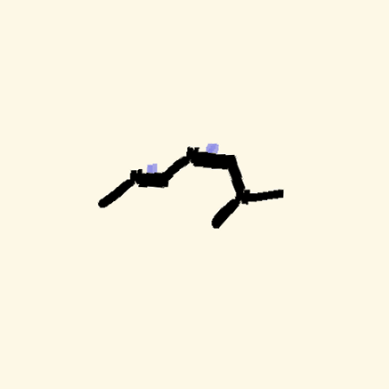 C/N=C/N=C\N(C)C